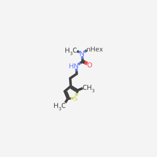 CCCCCCN(C)C(=O)NCCc1cc(C)sc1C